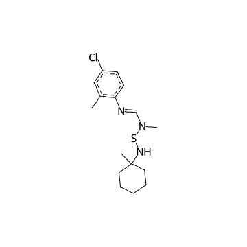 Cc1cc(Cl)ccc1N=CN(C)SNC1(C)CCCCC1